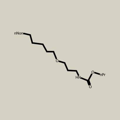 CCCCCCCCCCCCCCOCCCNC(=O)OCCC